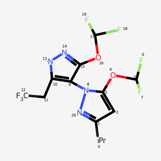 CC(C)c1cc(OC(F)F)n(C2=C(CC(F)(F)F)[N]N=C2OC(F)F)n1